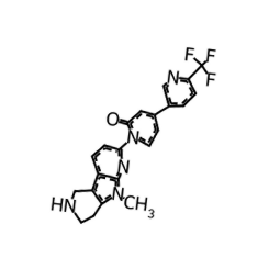 Cn1c2c(c3ccc(-n4ccc(-c5ccc(C(F)(F)F)nc5)cc4=O)nc31)CNCC2